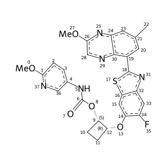 COc1ccc(NC(=O)O[C@H]2CC[C@H]2Oc2cc3sc(-c4cc(C)cc5nc(OC)cnc45)nc3cc2F)cn1